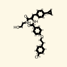 O=C(NCCO)/C(=C/c1ccc(C2CC2)cc1)NC(=O)c1ccc(OCCc2ccc(Cl)cc2)cc1